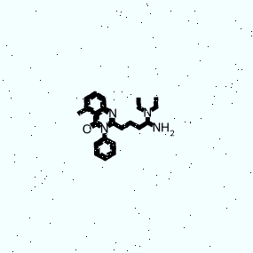 CCN(CC)C(N)CCCc1nc2cccc(C)c2c(=O)n1-c1ccccc1